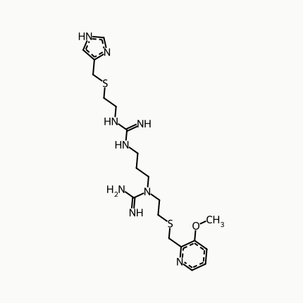 COc1cccnc1CSCCN(CCCNC(=N)NCCSCc1c[nH]cn1)C(=N)N